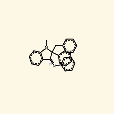 CN1c2ccccc2/C(=N/c2ccccc2)C1(Cc1ccccc1)c1ccccc1